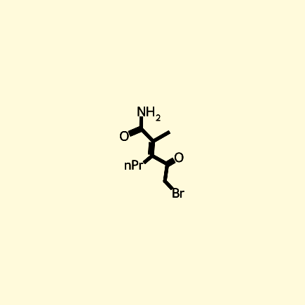 CCC/C(C(=O)CBr)=C(/C)C(N)=O